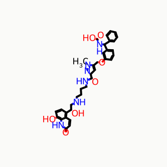 Cn1nc(C(=O)NCCCCNC[C@@H](O)c2ccc(O)c3[nH]c(=O)ccc23)cc1COc1cccc(C(NC(=O)O)c2ccccc2)c1